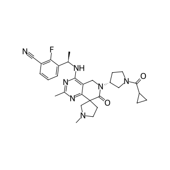 Cc1nc(N[C@H](C)c2cccc(C#N)c2F)c2c(n1)C1(CCN(C)C1)C(=O)N([C@@H]1CCN(C(=O)C3CC3)C1)C2